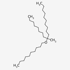 CCCCCCCCCCOC(C)(CCCCCCCC)CCCCCCCCCC